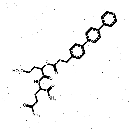 NC(=O)CCC(NC(=O)C(CCC(=O)O)NC(=O)CCc1ccc(-c2ccc(-c3ccccc3)cc2)cc1)C(N)=O